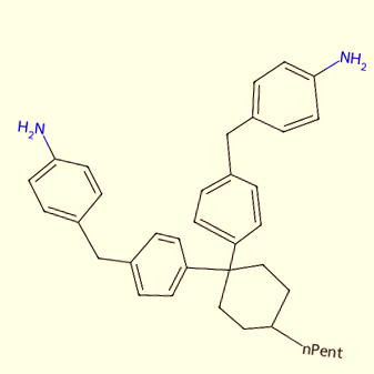 CCCCCC1CCC(c2ccc(Cc3ccc(N)cc3)cc2)(c2ccc(Cc3ccc(N)cc3)cc2)CC1